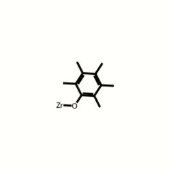 Cc1c(C)c(C)c([O][Zr])c(C)c1C